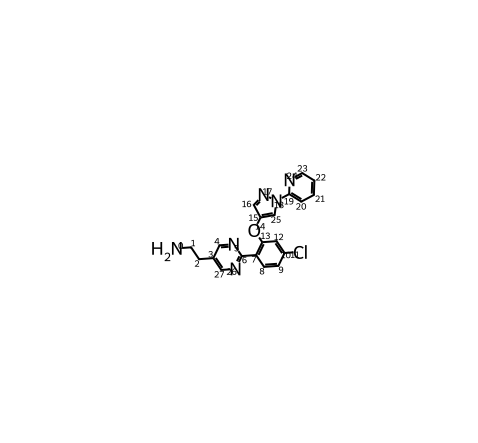 NCCc1cnc(-c2ccc(Cl)cc2Oc2cnn(-c3ccccn3)c2)nc1